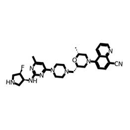 Cc1cc(N2CCN(C[C@H]3CN(c4ccc(C#N)c5ncccc45)C[C@@H](C)O3)CC2)nc(N[C@H]2CNC[C@H]2F)n1